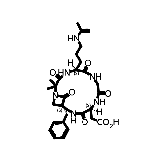 C=C(C)NCCC[C@@H]1NC(=O)C(C)(C)N2C[C@](Cc3ccccc3)(NC(=O)[C@H](CC(=O)O)NC(=O)CNC1=O)C2=O